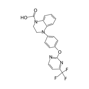 O=C(O)N1CCN(c2ccc(Oc3nccc(C(F)(F)F)n3)cc2)c2ccccc21